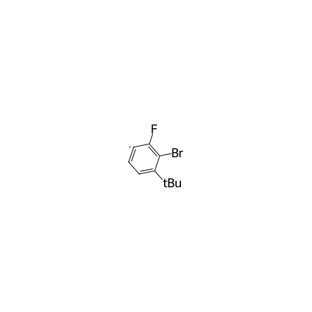 CC(C)(C)c1cc[c]c(F)c1Br